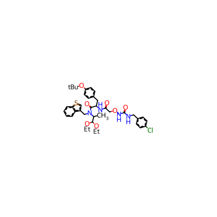 CCOC(OCC)C(C)N(Cc1csc2ccccc12)C(=O)C(Cc1ccc(OC(C)(C)C)cc1)NC(=O)CONC(=O)NCc1ccc(Cl)cc1